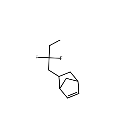 CCC(F)(F)CC1CC2C=CC1C2